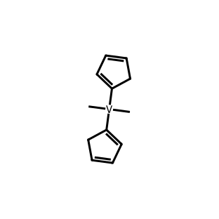 [CH3][V]([CH3])([C]1=CC=CC1)[C]1=CC=CC1